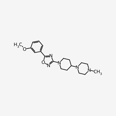 COc1cccc(-c2nc(N3CCC(N4CCN(C)CC4)CC3)no2)c1